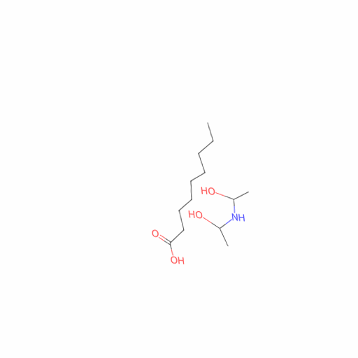 CC(O)NC(C)O.CCCCCCCCC(=O)O